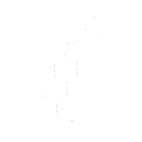 CC(C)C(N)C(=O)N1CCc2nc(C(C)(C)C)sc2C1